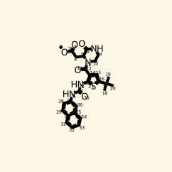 COC(=O)CC1C(=O)NCCN1C(=O)c1cc(C(C)(C)C)sc1NC(=O)Nc1ccc2ccccc2c1